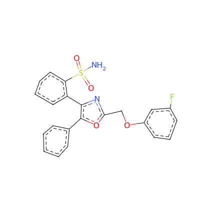 NS(=O)(=O)c1ccccc1-c1nc(COc2cccc(F)c2)oc1-c1ccccc1